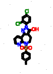 Cc1ccc(S(=O)(=O)N2CCc3c(nn(-c4ccc(Cl)cc4Cl)c3O)-c3cccnc32)cc1